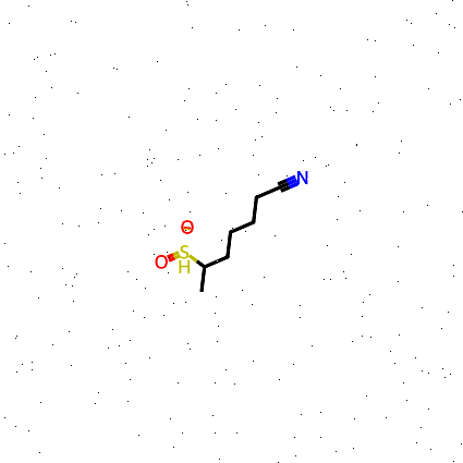 CC(CCCCC#N)[SH](=O)=O